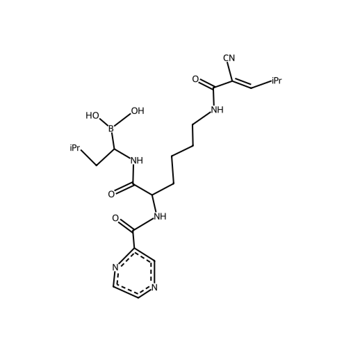 CC(C)C=C(C#N)C(=O)NCCCCC(NC(=O)c1cnccn1)C(=O)NC(CC(C)C)B(O)O